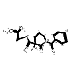 C=C(C)COC(=O)C1(C)CCCN(C(=O)c2ccccc2)C1=O